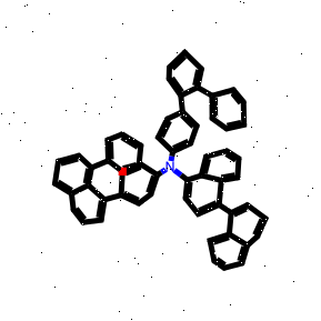 c1ccc(-c2ccccc2-c2ccc(N(c3ccc(-c4cccc5cccc(-c6ccccc6)c45)cc3)c3ccc(-c4cccc5ccccc45)c4ccccc34)cc2)cc1